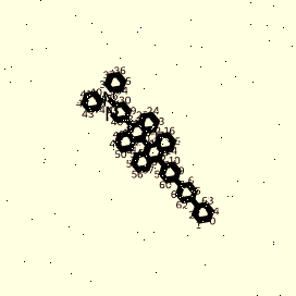 c1ccc(-c2ccc(-c3ccc(-c4c5ccccc5c(-c5c6ccccc6c(-c6ccc(N(c7ccccc7)c7ccccc7)nc6)c6ccccc56)c5ccccc45)cc3)cc2)cc1